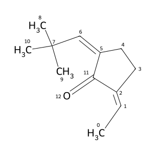 C/C=C1/CC/C(=C/C(C)(C)C)C1=O